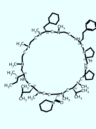 CC[C@H](C)[C@H]1CN(C)CCN(C)CCN(C)[C@@H](CC2CCCCC2)CN(C)CCN[C@@H](CCc2ccccc2)CN2CCC[C@H]2CNC2(CCCC2)CN(C)[C@@H](C(C)C)CN(C)[C@H](C(=O)N2CCCCC2)CCN(C)[C@@H](CC(C)C)CN1